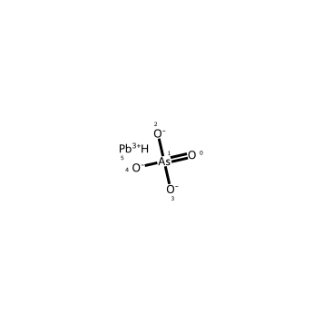 O=[As]([O-])([O-])[O-].[PbH+3]